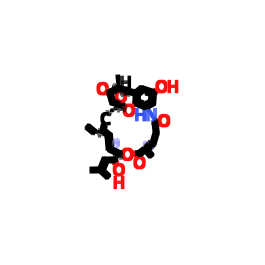 CC[C@H]1/C=C/[C@@H](C(O)C=C(C)C)OC(=O)/C(C)=C\CC(=O)Nc2cc(O)cc3c2O[C@@]2(CC1)CC(=O)[C@@H](C)[C@@H]3O2